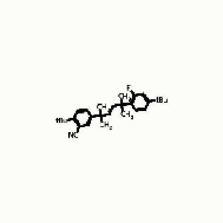 CC(C)(C)c1ccc(C(C)(C)CCC(C)(C)c2ccc(C(C)(C)C)c(C#N)c2)c(F)c1